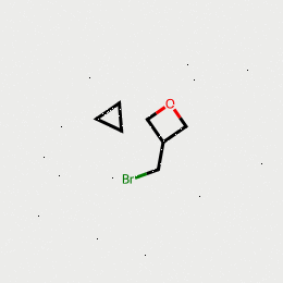 BrCC1COC1.C1CC1